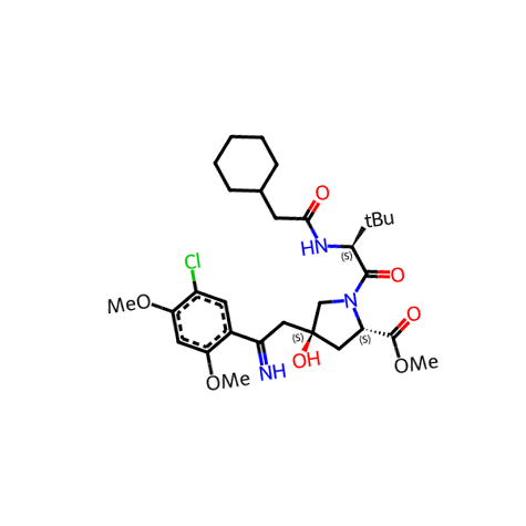 COC(=O)[C@@H]1C[C@](O)(CC(=N)c2cc(Cl)c(OC)cc2OC)CN1C(=O)[C@@H](NC(=O)CC1CCCCC1)C(C)(C)C